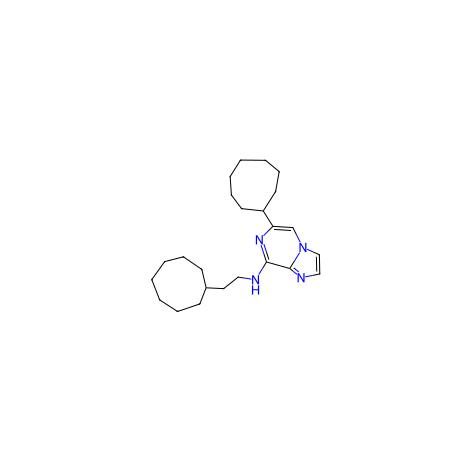 c1cn2cc(C3CCCCCCC3)nc(NCCC3CCCCCCC3)c2n1